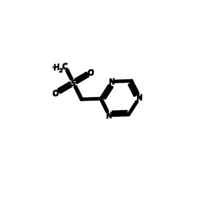 [CH2]S(=O)(=O)Cc1ncncn1